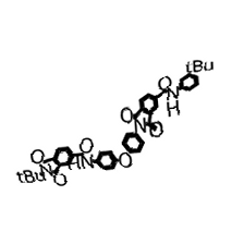 CC(C)(C)c1cccc(NC(=O)c2ccc3c(c2)C(=O)N(c2ccc(Oc4ccc(NC(=O)c5ccc6c(c5)C(=O)N(C(C)(C)C)C6=O)cc4)cc2)C3=O)c1